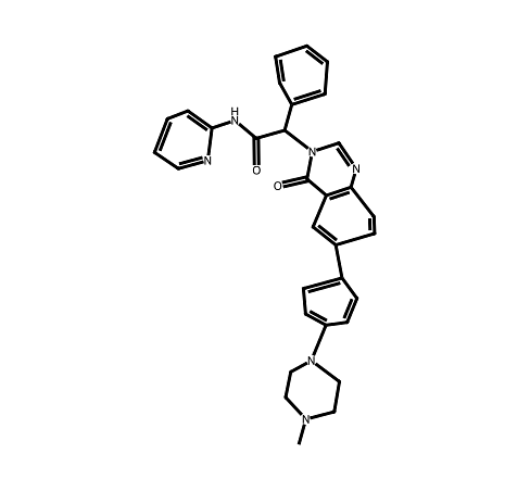 CN1CCN(c2ccc(-c3ccc4ncn(C(C(=O)Nc5ccccn5)c5ccccc5)c(=O)c4c3)cc2)CC1